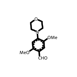 COc1cc(N2CCOCC2)c(OC)cc1C=O